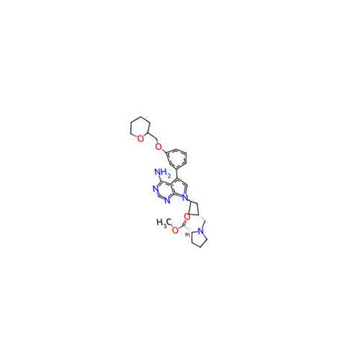 COC(=O)[C@H]1CCCN1C[C@H]1C[C@H](n2cc(-c3cccc(OCC4CCCCO4)c3)c3c(N)ncnc32)C1